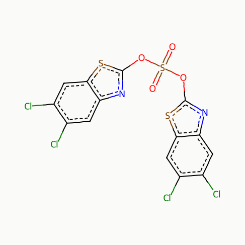 O=S(=O)(Oc1nc2cc(Cl)c(Cl)cc2s1)Oc1nc2cc(Cl)c(Cl)cc2s1